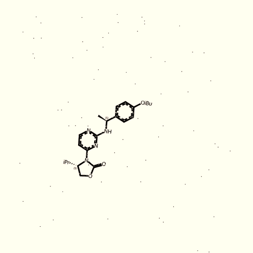 CC(C)COc1ccc([C@H](C)Nc2nccc(N3C(=O)OC[C@@H]3C(C)C)n2)cc1